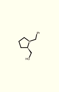 CC(C)CN1CCC[C@@H]1CO